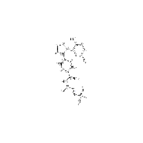 C[C@H](/C=C/S(C)(=O)=O)NC(=O)c1cnc(N2CCCC2c2cc(F)ccc2Cl)cn1